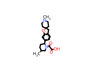 CC1CCC(c2ccc3c(c2)OC2(CCN(C)CC2)C3)N(C(=O)C(=O)O)C1